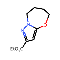 CCOC(=O)c1cc2n(n1)CCCCO2